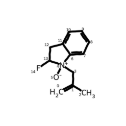 C=C(C)C[N+]1([O-])c2ccccc2CC1F